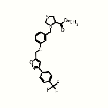 COC(=O)C1CSCN1Cc1cccc(OCc2cc(-c3ccc(C(F)(F)F)cc3)no2)c1